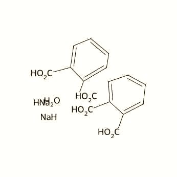 O.O=C(O)c1ccccc1C(=O)O.O=C(O)c1ccccc1C(=O)O.[NaH].[NaH]